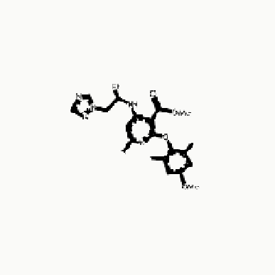 CCC(Cn1cncn1)Nc1cc(C)nc(Oc2c(C)cc(OC)cc2C)c1C(=O)OC